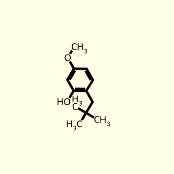 COc1ccc(CC(C)(C)C)c(O)c1